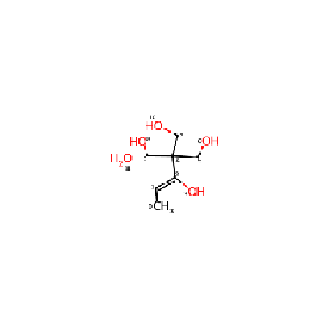 CC=C(O)C(CO)(CO)CO.O